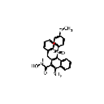 COc1ccc(S(=O)(=O)c2c(Cc3ccccc3)c(C(=O)NO)c(N)c3ccccc23)cc1